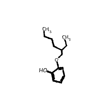 CCCCC(CC)COc1ccccc1O